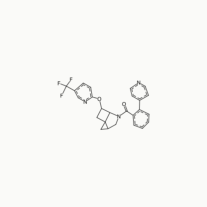 O=C(c1ccccc1-c1ccncc1)N1CC2CC23CC(Oc2ccc(C(F)(F)F)cn2)C13